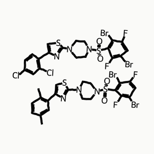 Cc1ccc(C)c(-c2csc(N3CCN(S(=O)(=O)c4c(F)c(Br)cc(F)c4Br)CC3)n2)c1.O=S(=O)(c1c(F)c(Br)cc(F)c1Br)N1CCN(c2nc(-c3ccc(Cl)cc3Cl)cs2)CC1